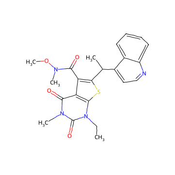 CCn1c(=O)n(C)c(=O)c2c(C(=O)N(C)OC)c(C(C)c3ccnc4ccccc34)sc21